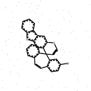 Brc1ccc2c(c1)C1(c3ccccc3C=C2)c2ccccc2Oc2cc3c(cc21)oc1ccccc13